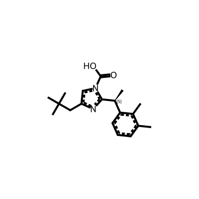 Cc1cccc([C@H](C)c2nc(CC(C)(C)C)cn2C(=O)O)c1C